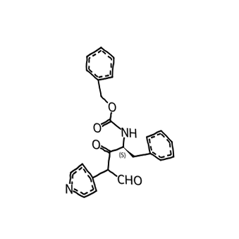 O=CC(C(=O)[C@H](Cc1ccccc1)NC(=O)OCc1ccccc1)c1ccncc1